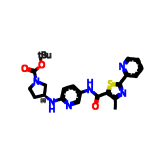 Cc1nc(-c2ccccn2)sc1C(=O)Nc1ccc(N[C@H]2CCN(C(=O)OC(C)(C)C)C2)nc1